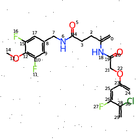 C=C(CCC(=O)NCc1cc(F)c(OC)c(F)c1)NC(=O)COC(=C)/C=C(/F)C(=C)Cl